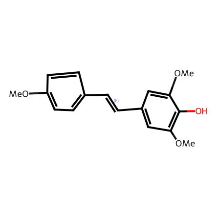 COc1ccc(/C=C/c2cc(OC)c(O)c(OC)c2)cc1